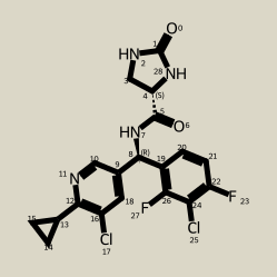 O=C1NC[C@@H](C(=O)N[C@H](c2cnc(C3CC3)c(Cl)c2)c2ccc(F)c(Cl)c2F)N1